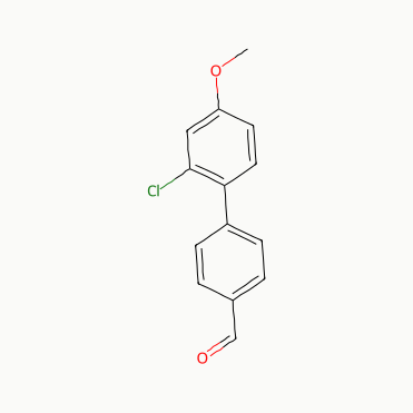 COc1ccc(-c2ccc(C=O)cc2)c(Cl)c1